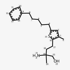 Cc1cc(CCCCCc2ccccc2)sc1CCC(C)(N)CO